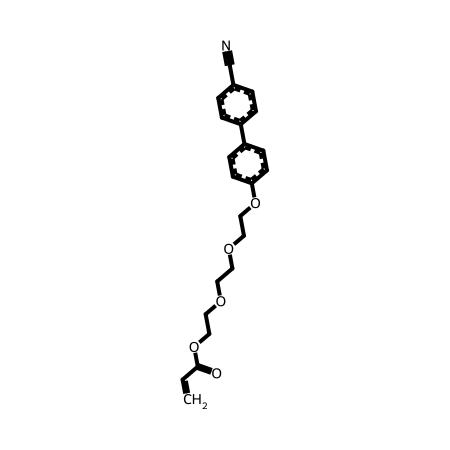 C=CC(=O)OCCOCCOCCOc1ccc(-c2ccc(C#N)cc2)cc1